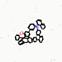 c1ccc(-c2ccccc2-c2ccc(N(c3cccc(-c4ccc5c(c4)Oc4ccccc4C54c5ccccc5-c5ccccc54)c3)c3cccc4ccccc34)cc2)cc1